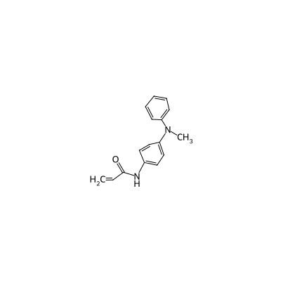 C=CC(=O)Nc1ccc(N(C)c2ccccc2)cc1